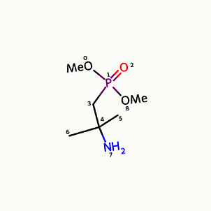 COP(=O)(CC(C)(C)N)OC